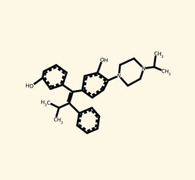 CC(C)/C(=C(\c1cccc(O)c1)c1ccc(N2CCN(C(C)C)CC2)c(O)c1)c1ccccc1